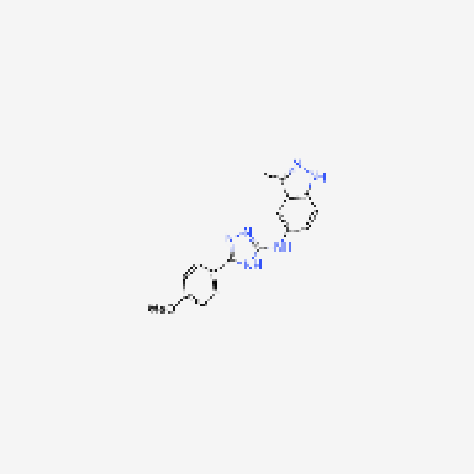 COc1ccc(-c2nnc(Nc3ccc4[nH]nc(C)c4c3)[nH]2)cc1